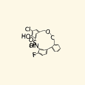 O=S1(=O)Nc2cc(ccc2F)-c2ccccc2CCCOCc2cc(Cl)c(O)c1c2